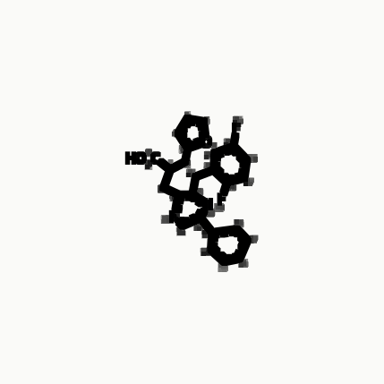 O=C(O)C(Cc1ccco1)Cc1ncc(-c2ccccc2)nc1Cc1cc(F)ccc1F